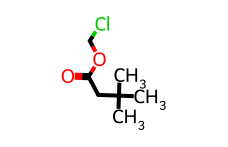 CC(C)(C)CC(=O)OCCl